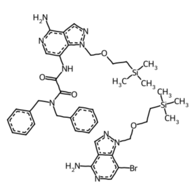 C[Si](C)(C)CCOCn1ncc2c(N)ncc(Br)c21.C[Si](C)(C)CCOCn1ncc2c(N)ncc(NC(=O)C(=O)N(Cc3ccccc3)Cc3ccccc3)c21